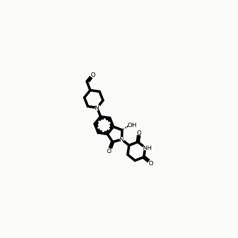 O=CC1CCN(c2ccc3c(c2)[C@H](O)N(C2CCC(=O)NC2=O)C3=O)CC1